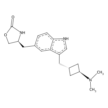 CN(C)[C@H]1C[C@H](Cc2c[nH]c3ccc(C[C@H]4COC(=O)N4)cc23)C1